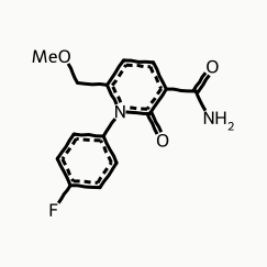 COCc1ccc(C(N)=O)c(=O)n1-c1ccc(F)cc1